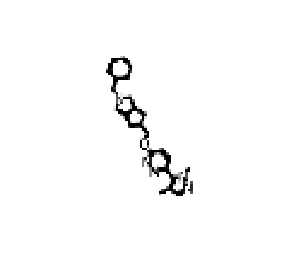 Cc1cnn(C)c1-c1ccc(OCC2CC3CN(CC4CCCCC4)CC3C2)nn1